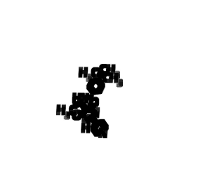 CCC(NC(=O)[C@H]1CC[C@@H](C(C)(C)C)CC1)c1nnc(-c2ccncc2)[nH]c1=O